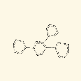 c1ccc(-c2ccc(-c3ccccc3)c(-c3ccccc3)[o+]2)cc1